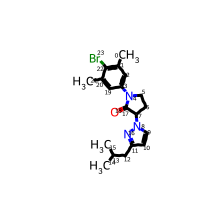 Cc1cc(N2CCC(n3ccc(CC(C)C)n3)C2=O)cc(C)c1Br